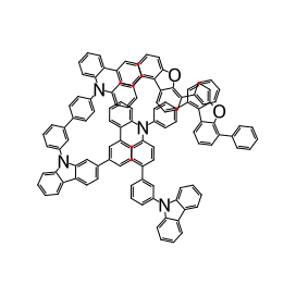 c1ccc(-c2ccccc2N(c2ccc(-c3cccc(-n4c5ccccc5c5ccc(-c6cccc(-c7ccccc7N(c7ccc(-c8cccc(-n9c%10ccccc%10c%10ccccc%109)c8)cc7)c7ccc(-c8cccc9oc%10c(-c%11ccccc%11)cccc%10c89)cc7)c6)cc54)c3)cc2)c2cccc(-c3cccc4oc5c(-c6ccccc6)cccc5c34)c2)cc1